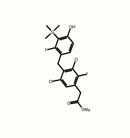 COC(=O)Cc1cc(Cl)c(Cc2ccc(O)c([Si](C)(C)C)c2F)c(Cl)c1F